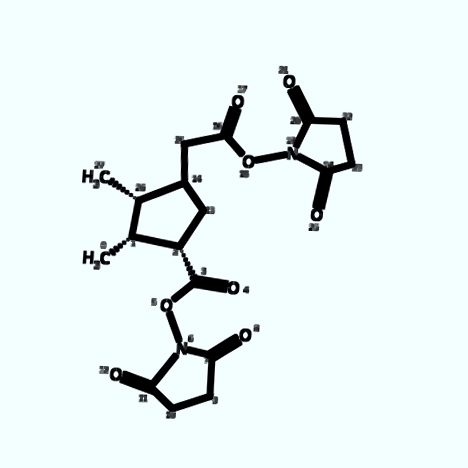 C[C@H]1[C@@H](C(=O)ON2C(=O)CCC2=O)CC(CC(=O)ON2C(=O)CCC2=O)[C@H]1C